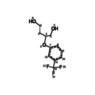 OCCC(CO)Oc1cccc(C(F)(F)F)c1